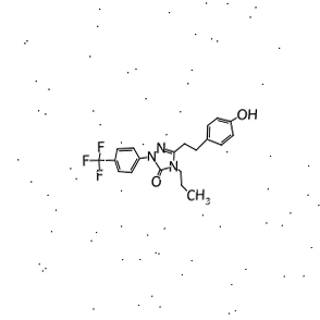 CCCn1c(CCc2ccc(O)cc2)nn(-c2ccc(C(F)(F)F)cc2)c1=O